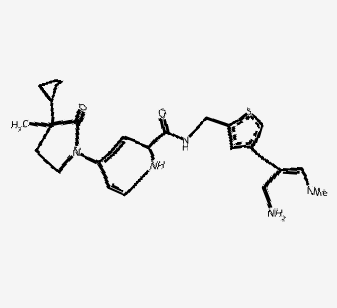 CN/C=C(\CN)c1csc(CNC(=O)C2C=C(N3CCC(C)(C4CC4)C3=O)C=CN2)c1